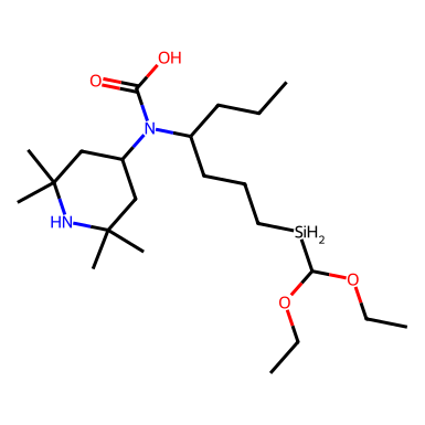 CCCC(CCC[SiH2]C(OCC)OCC)N(C(=O)O)C1CC(C)(C)NC(C)(C)C1